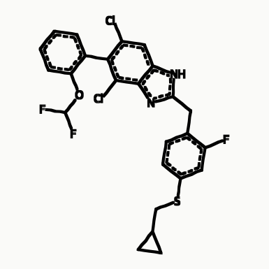 Fc1cc(SCC2CC2)ccc1Cc1nc2c(Cl)c(-c3ccccc3OC(F)F)c(Cl)cc2[nH]1